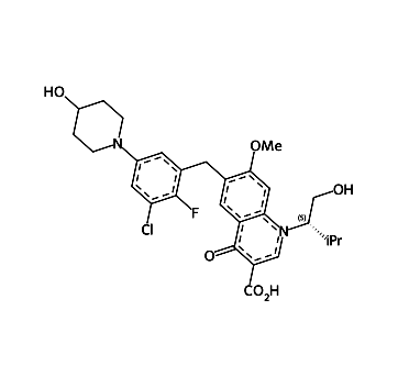 COc1cc2c(cc1Cc1cc(N3CCC(O)CC3)cc(Cl)c1F)c(=O)c(C(=O)O)cn2[C@H](CO)C(C)C